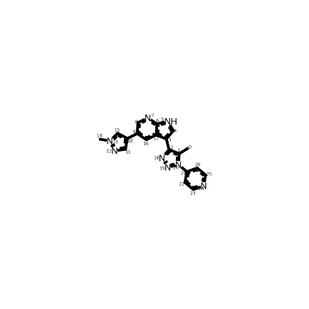 Cc1c(-c2c[nH]c3ncc(-c4cnn(C)c4)cc23)nnn1-c1ccncc1